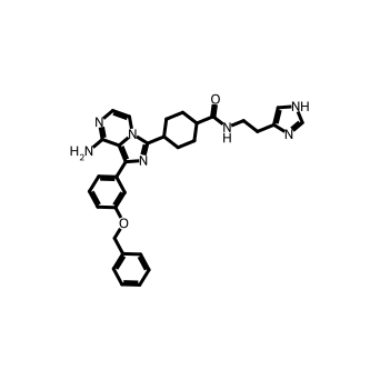 Nc1nccn2c(C3CCC(C(=O)NCCc4c[nH]cn4)CC3)nc(-c3cccc(OCc4ccccc4)c3)c12